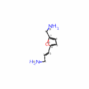 NCC=Cc1ccc(CN)o1